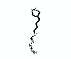 N=N/N=C/OCCCCC1CSSC1